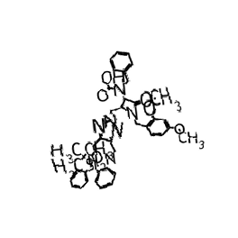 COc1ccc(CN2C(=O)[C@@H](N(Cc3ccccc3)C(=O)O)[C@@H]2Cn2nc(CN)c(CO[Si](c3ccccc3)(c3ccccc3)C(C)(C)C)n2)c(OC)c1